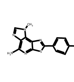 Cn1cnc2c(N)nc3sc(-c4ccc(F)cc4)nc3c21